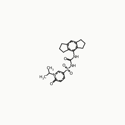 CC(C)n1cc(S(=O)(=O)NC(=O)Nc2c3c(cc4c2CCC4)CCC3)ccc1=O